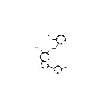 COc1cccnc1COc1nn2c(-c3cc(C)on3)nnc2cc1OC